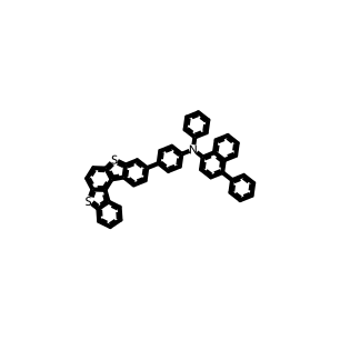 c1ccc(-c2ccc(N(c3ccccc3)c3ccc(-c4ccc5c(c4)sc4ccc6sc7ccccc7c6c45)cc3)c3ccccc23)cc1